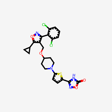 O=c1[nH]c(-c2ccc(N3CCC(OCc4c(-c5c(Cl)cccc5Cl)noc4C4CC4)CC3)s2)no1